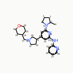 CC1CCCN1c1cc(C2CCN(CC3CCOCC3)C2)cc(Nc2ccccn2)n1